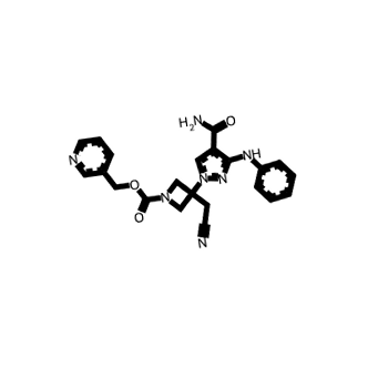 N#CCC1(n2cc(C(N)=O)c(Nc3ccccc3)n2)CN(C(=O)OCc2cccnc2)C1